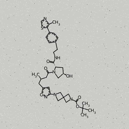 Cc1ncsc1-c1ccc(CCNC(=O)[C@@H]2C[C@@H](O)CN2C(=O)CC(C)Cc2cc(N3CC4(CN(C(=O)OC(C)(C)C)C4)C3)no2)cc1